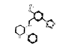 FC(F)(F)Oc1ccc(-n2cnnn2)cc1CN[C@H]1CCCN[C@H]1c1ccccc1